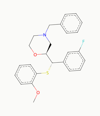 COc1ccccc1S[C@@H](c1cccc(F)c1)[C@@H]1CN(Cc2ccccc2)CCO1